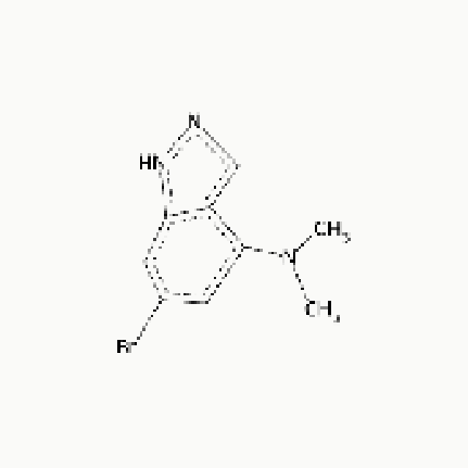 CN(C)c1cc(Br)cc2[nH]ncc12